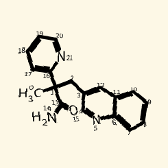 CC(Cc1cnc2ccccc2c1)(C(N)=O)c1ccccn1